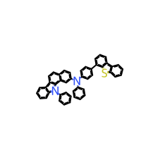 c1ccc(N(c2ccc(-c3cccc4c3sc3ccccc34)cc2)c2ccc3ccc4c5ccccc5n(-c5ccccc5)c4c3c2)cc1